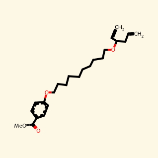 C=CCC(C=C)OCCCCCCCCCCOc1ccc(C(=O)OC)cc1